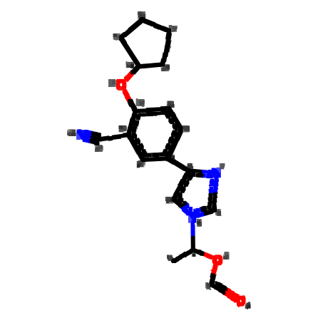 CC(OC=O)n1cnc(-c2ccc(OC3CCCC3)c(C#N)c2)c1